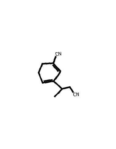 CC(CC#N)C1=CCCC(C#N)=C1